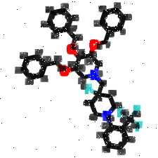 FC1(CN2C[C@H](OCc3ccccc3)C(OCc3ccccc3)[C@H](OCc3ccccc3)C2)CCN(c2ccccc2C(F)(F)F)CC1